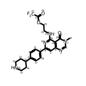 Cn1cnc2cc(-c3ccc(C4CCNCC4)cc3)nc(NCCOC(=O)C(F)(F)F)c2c1=O